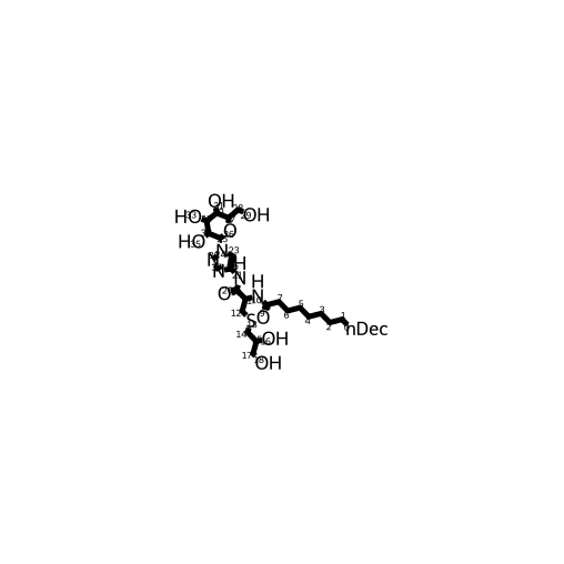 CCCCCCCCCCCCCCCCCC(=O)NC(CSCC(O)CO)C(=O)Nc1cn([C@H]2OC(CO)C(O)C(O)C2O)nn1